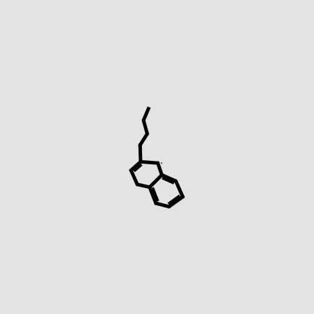 CCCCC1=CCc2ccccc2[CH]1